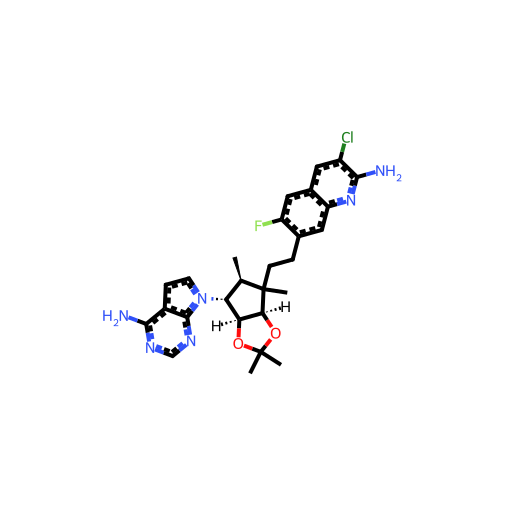 C[C@@H]1[C@@H](n2ccc3c(N)ncnc32)[C@@H]2OC(C)(C)O[C@@H]2C1(C)CCc1cc2nc(N)c(Cl)cc2cc1F